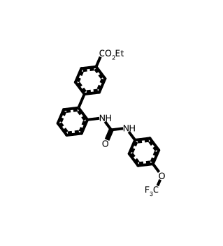 CCOC(=O)c1ccc(-c2ccccc2NC(=O)Nc2ccc(OC(F)(F)F)cc2)cc1